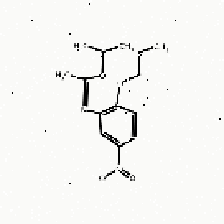 CCCOc1ccc([N+](=O)[O-])cc1/N=C(/C)OC(C)C